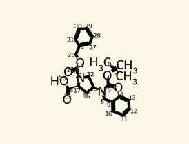 CC(C)(C)OC(=O)N(Cc1ccccc1)[C@H]1C[C@@H](C(=O)O)N(C(=O)OCc2ccccc2)C1